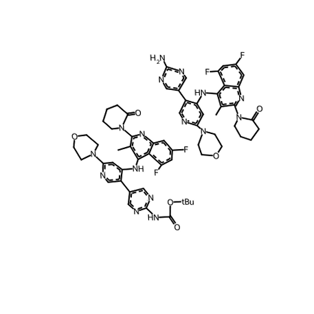 Cc1c(N2CCCCC2=O)nc2cc(F)cc(F)c2c1Nc1cc(N2CCOCC2)ncc1-c1cnc(N)nc1.Cc1c(N2CCCCC2=O)nc2cc(F)cc(F)c2c1Nc1cc(N2CCOCC2)ncc1-c1cnc(NC(=O)OC(C)(C)C)nc1